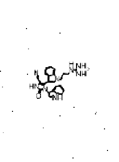 N#Cc1[nH]c(=O)n(-c2c[nH]c3ccccc23)c1-c1cn(CCCNC(=N)N)c2ccccc12